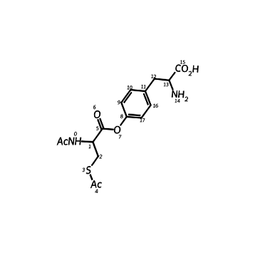 CC(=O)NC(CSC(C)=O)C(=O)Oc1ccc(CC(N)C(=O)O)cc1